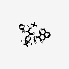 C[C@@H](OC(C)(C)C)[C@H](Nc1nccs1)C(=O)N1C[C@H]2[C@@H]([C@H]1C(=O)NC(C#N)c1cncc3cccc(Cl)c13)C2(C)C